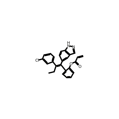 C=CC(=O)Oc1ccccc1/C(=C(\CC)c1cccc(Cl)c1)c1ccc2[nH]ncc2c1